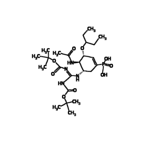 CCC(CC)O[C@@H]1C=C(P(=O)(O)O)C[C@H](NC(=NC(=O)OC(C)(C)C)NC(=O)OC(C)(C)C)[C@H]1NC(C)=O